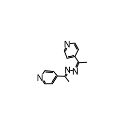 CC(=NN=C(C)c1ccncc1)c1ccncc1